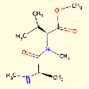 CN[C@H](C)C(=O)N(C)[C@H](C(=O)OC)C(C)C